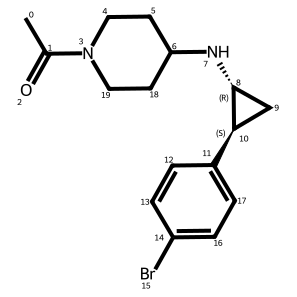 CC(=O)N1CCC(N[C@@H]2C[C@H]2c2ccc(Br)cc2)CC1